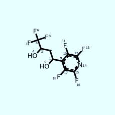 OC(CC(O)C(F)(F)F)c1c(F)c(F)nc(F)c1F